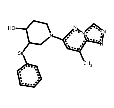 Cc1cc(N2CCC(O)C([Se]c3ccccc3)C2)nn2cnnc12